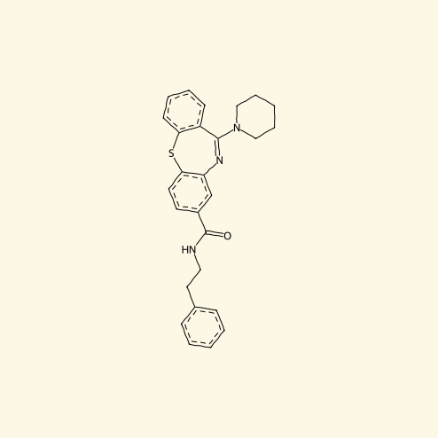 O=C(NCCc1ccccc1)c1ccc2c(c1)N=C(N1CCCCC1)c1ccccc1S2